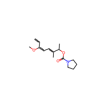 C=C/C(=C\C=C(/C)C(C)OC(=O)N1CCCC1)OC